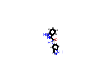 O=C(Nc1ccc2[nH]ncc2c1)c1n[nH]c2ccccc12